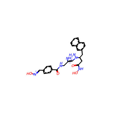 N/C(=C\N(N)C(CC(=O)NO)Cc1ccc2ccccc2c1)CNC(=O)c1ccc(/C=N/O)cc1